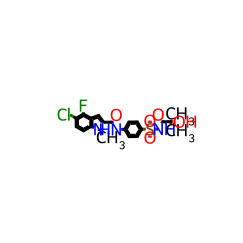 Cn1c(C(=O)Nc2ccc(S(=O)(=O)NC(=O)C(C)(C)O)cc2)cc2c(F)c(Cl)ccc21